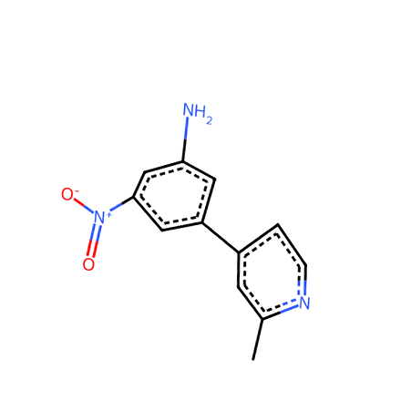 Cc1cc(-c2cc(N)cc([N+](=O)[O-])c2)ccn1